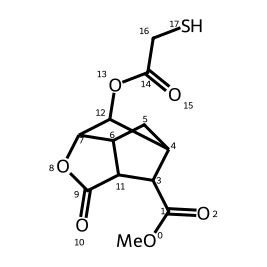 COC(=O)C1C2CC3C(OC(=O)C31)C2OC(=O)CS